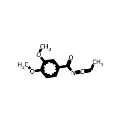 CC=C=NC(=O)c1ccc(OC)c(OC)c1